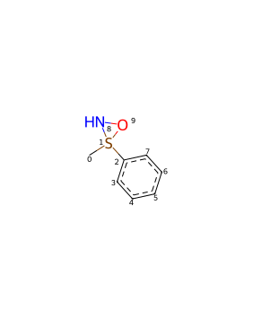 CS1(c2ccccc2)NO1